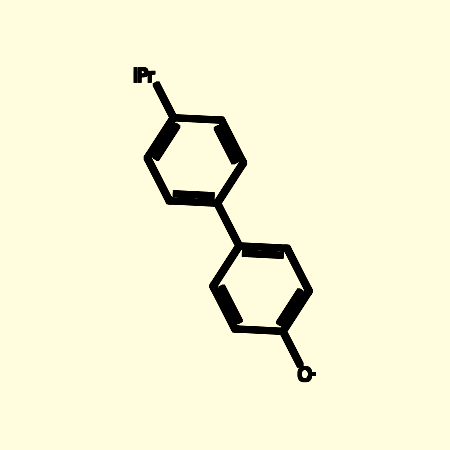 CC(C)c1ccc(-c2ccc([O])cc2)cc1